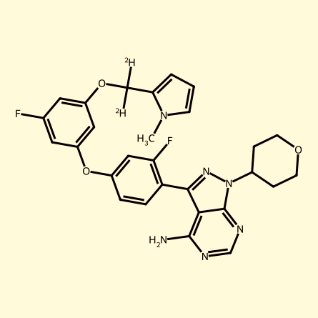 [2H]C([2H])(Oc1cc(F)cc(Oc2ccc(-c3nn(C4CCOCC4)c4ncnc(N)c34)c(F)c2)c1)c1cccn1C